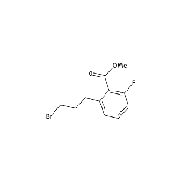 COC(=O)c1c(F)cccc1CCCBr